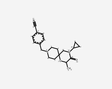 CC1OC2(CCN(Cc3ccc(C#N)cc3)CC2)CN(C2CC2)C1=O